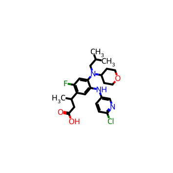 CC(C)CN(c1cc(F)c(C(C)CC(=O)O)cc1Nc1ccc(Cl)nc1)C1CCOCC1